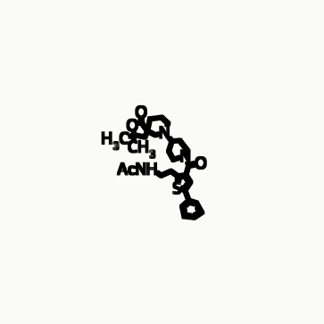 CC(=O)NCCc1sc(-c2ccccc2)cc1C(=O)N1CCC(N2CCCC3(C2)CC(C)(C)OC3=O)CC1